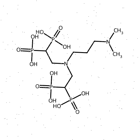 CN(C)CCCN(CC(P(=O)(O)O)P(=O)(O)O)CC(P(=O)(O)O)P(=O)(O)O